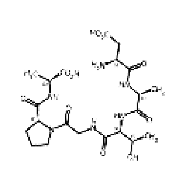 C[C@H](NC(=O)[C@@H]1CCCN1C(=O)CNC(=O)[C@@H](NC(=O)[C@H](C)NC(=O)[C@@H](N)CC(=O)O)[C@@H](C)O)C(=O)O